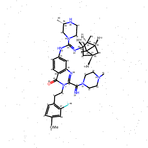 COc1ccc(CCn2c(C(=N)N3CCN(C)CC3)nc3cc(NC(=N[C@H]4C[C@H]5C[C@@H]([C@@H]4C)C5(C)C)N4CCN[C@@H](C)C4)ccc3c2=O)c(F)c1